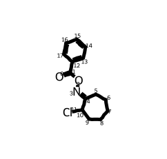 O=C(ON=C1CCCCCC1Cl)c1ccccc1